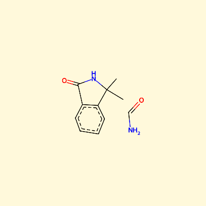 CC1(C)NC(=O)c2ccccc21.NC=O